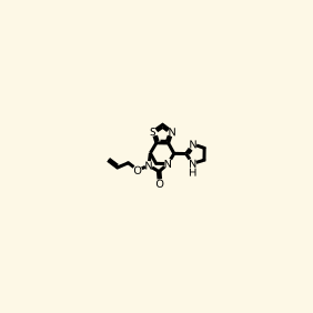 C=CCON1C(=O)N2CC1c1scnc1C2C1=NCCN1